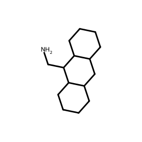 NCC1C2CCCCC2CC2CCCCC21